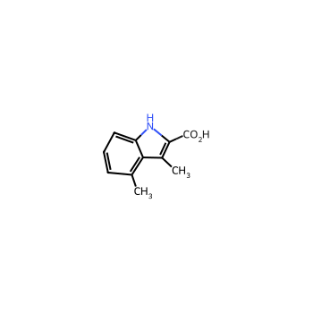 Cc1cccc2[nH]c(C(=O)O)c(C)c12